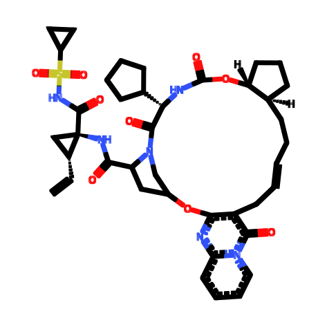 C=C[C@@H]1C[C@]1(NC(=O)C1CC2CN1C(=O)[C@H](C1CCCC1)NC(=O)O[C@@H]1CCC[C@H]1CC/C=C/Cc1c(nc3ccccn3c1=O)O2)C(=O)NS(=O)(=O)C1CC1